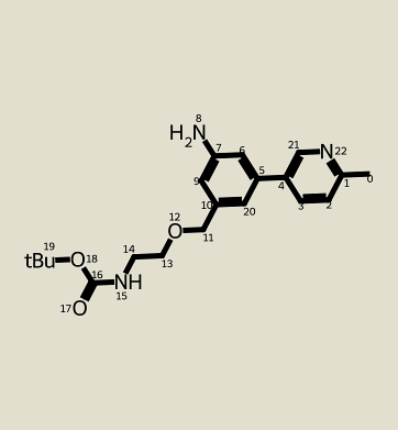 Cc1ccc(-c2cc(N)cc(COCCNC(=O)OC(C)(C)C)c2)cn1